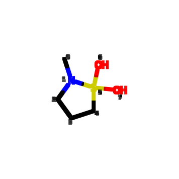 CN1CCCS1(O)O